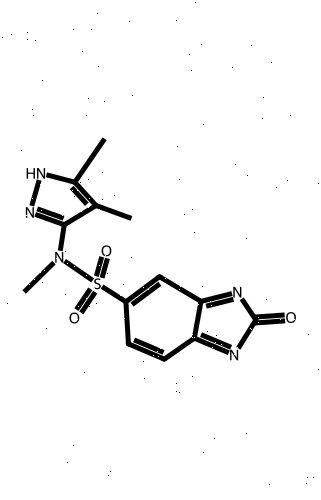 Cc1[nH]nc(N(C)S(=O)(=O)c2ccc3c(c2)=NC(=O)N=3)c1C